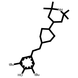 CC1(C)CC(C2CCC(CCc3cc(C(C)(C)C)c(O)c(C(C)(C)C)c3)CC2)CC(C)(C)N1